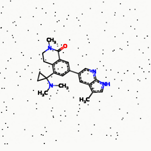 Cc1c[nH]c2ncc(-c3cc4c(c(C5(N(C)C)CC5)c3)CCN(C)C4=O)cc12